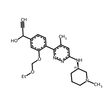 C#CC(O)c1ccc(-c2nnc(N[C@@H]3CCCN(C)C3)cc2C)c(OCOCC)c1